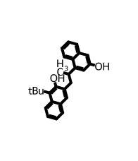 CC(Cc1cc2ccccc2c(C(C)(C)C)c1O)c1cc(O)cc2ccccc12